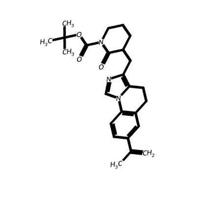 C=C(C)c1ccc2c(c1)CCc1c(CC3CCCN(C(=O)OC(C)(C)C)C3=O)ncn1-2